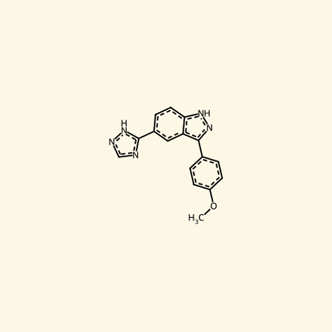 COc1ccc(-c2n[nH]c3ccc(-c4ncn[nH]4)cc23)cc1